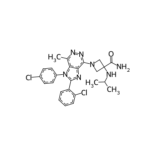 Cc1nnc(N2CC(NC(C)C)(C(N)=O)C2)c2nc(-c3ccccc3Cl)n(-c3ccc(Cl)cc3)c12